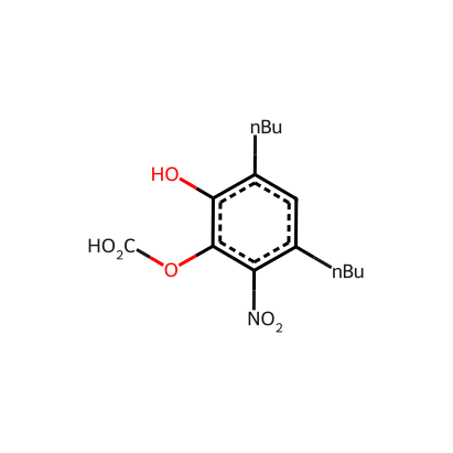 CCCCc1cc(CCCC)c([N+](=O)[O-])c(OC(=O)O)c1O